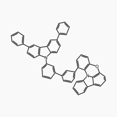 c1ccc(-c2ccc3c(c2)c2cc(-c4ccccc4)ccc2n3-c2cccc(-c3cccc(-c4cccc5c4-n4c6ccccc6c6cccc(c64)O5)c3)c2)cc1